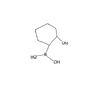 OB(O)C1CCCCC1O